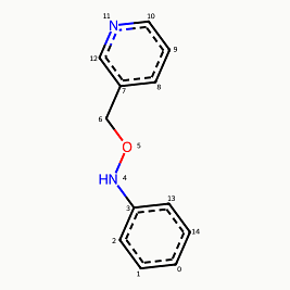 c1ccc(NOCc2cccnc2)cc1